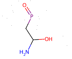 NC(O)CP=O